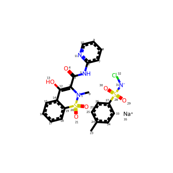 CN1C(C(=O)Nc2ccccn2)=C(O)c2ccccc2S1(=O)=O.Cc1ccc(S(=O)(=O)[N-]Cl)cc1.[Na+]